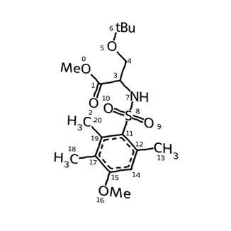 COC(=O)C(COC(C)(C)C)NS(=O)(=O)c1c(C)cc(OC)c(C)c1C